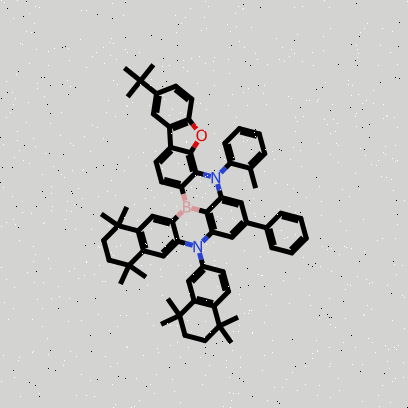 Cc1ccccc1N1c2cc(-c3ccccc3)cc3c2B(c2cc4c(cc2N3c2ccc3c(c2)C(C)(C)CCC3(C)C)C(C)(C)CCC4(C)C)c2ccc3c(oc4ccc(C(C)(C)C)cc43)c21